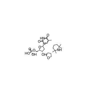 C1CCOC1.CC1(C)CCCC(C)(C)N1.Cc1cn([C@H]2C[C@H](O)[C@@H](COP(=O)(O)O)O2)c(=O)[nH]c1=O